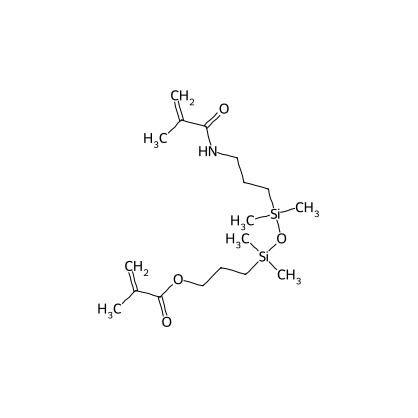 C=C(C)C(=O)NCCC[Si](C)(C)O[Si](C)(C)CCCOC(=O)C(=C)C